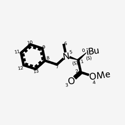 CC[C@H](C)[C@@H](C(=O)OC)N(C)Cc1ccccc1